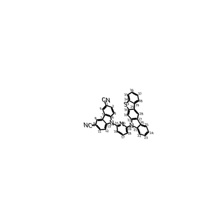 N#Cc1ccc2c(c1)c1cc(C#N)ccc1n2-c1cccc(-n2c3ccccc3c3cc4c(cc32)sc2ccccc24)n1